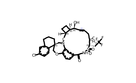 C[C@H]1C/C=C/[C@H](O)[C@@H]2CC[C@H]2CN2C[C@@]3(CCCc4cc(Cl)ccc43)COc3ccc(cc32)C(=O)NS(=O)(=O)[C@H]1CC(F)(F)F